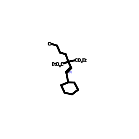 CCOC(=O)C(/C=C/C1CCCCC1)(CCCCl)C(=O)OCC